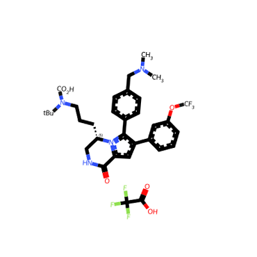 CN(C)Cc1ccc(-c2c(-c3cccc(OC(F)(F)F)c3)cc3n2[C@@H](CCCN(C(=O)O)C(C)(C)C)CNC3=O)cc1.O=C(O)C(F)(F)F